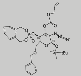 C=CCOC(=O)O[C@@H]1C(N=[N+]=[N-])[C@@H](O[Si](C)(C)C(C)(C)C)OC(COCc2ccccc2)[C@H]1OP1(=O)OCc2ccccc2CO1